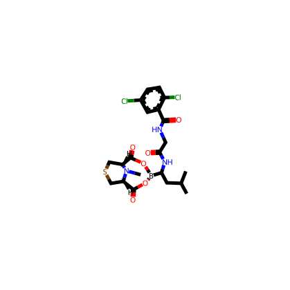 CC(C)CC(NC(=O)CNC(=O)c1cc(Cl)ccc1Cl)B1OC(=O)[C@H]2CSC[C@@H](C(=O)O1)N2C